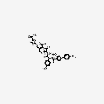 [2H]Oc1ccc(C(NC(=O)c2ccc(-c3ccc(C)cc3)nc2O)C(=O)NC2C(=O)N3C(C(=O)O)=C(CSc4nnc(C(N)=O)o4)CS[C@@H]23)cc1